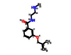 C=C(C)COc1cccc(C(=O)NCCNCC)c1